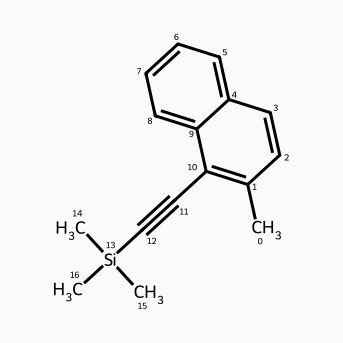 Cc1ccc2ccccc2c1C#C[Si](C)(C)C